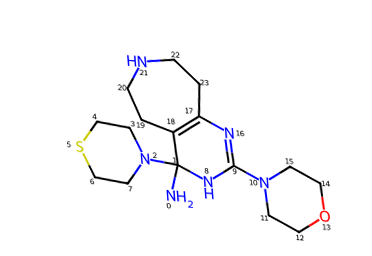 NC1(N2CCSCC2)NC(N2CCOCC2)=NC2=C1CCNCC2